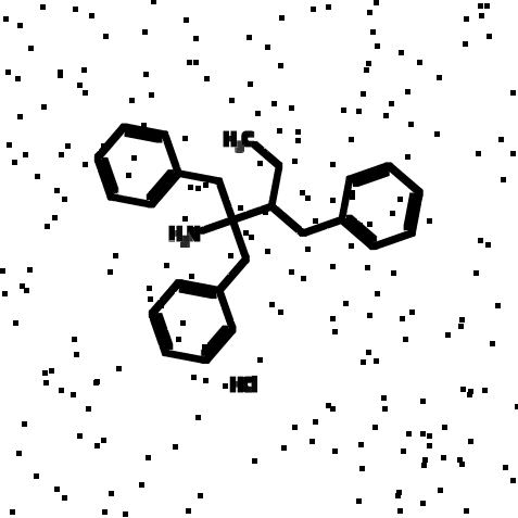 CCC(Cc1ccccc1)C(N)(Cc1ccccc1)Cc1ccccc1.Cl